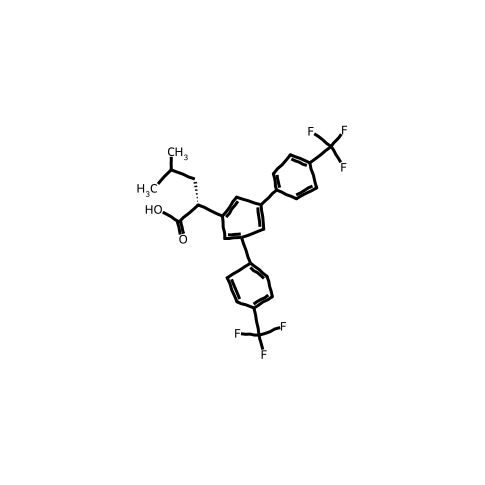 CC(C)C[C@@H](C(=O)O)c1cc(-c2ccc(C(F)(F)F)cc2)cc(-c2ccc(C(F)(F)F)cc2)c1